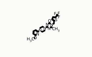 COc1cccc(N2CCN(c3nc(C)n(Cc4ccc(C(F)(F)F)s4)c(=O)n3)CC2)n1